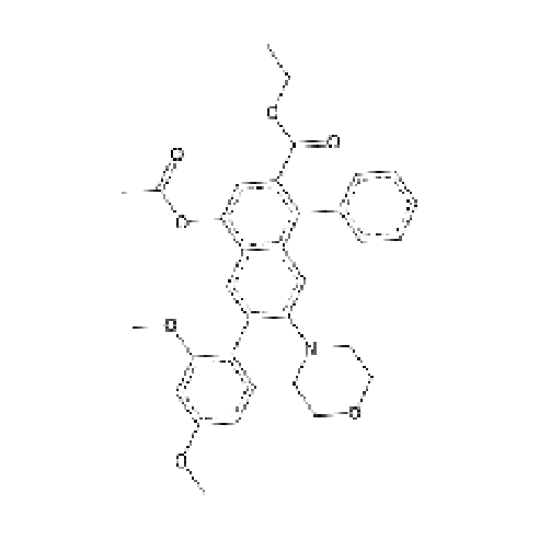 CCOC(=O)c1cc(OC(C)=O)c2cc(-c3ccc(OC)cc3OC)c(N3CCOCC3)cc2c1-c1ccccc1